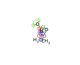 CN(C)CC[C@H]1C(=O)N(Cc2cccc(Cl)c2)C[C@@H]2N(C(=O)OCc3cc(C(F)(F)F)cc(C(F)(F)F)c3)CCC(=O)N21